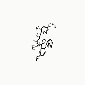 CCN(C(=O)c1cc(F)ccc1-n1cccn1)C(C)COc1ncc(C(F)(F)F)cc1F